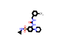 O=C(NCc1cccc(C(F)(F)F)c1)Nc1cc(S(=O)(=O)NC2CC2)ccc1N1CCCCC1